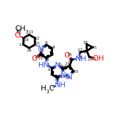 CNc1cc(Nc2cccn([C@H]3CC[C@H](OC)CC3)c2=O)nc2c(C(=O)NCC3(CO)CC3)cnn12